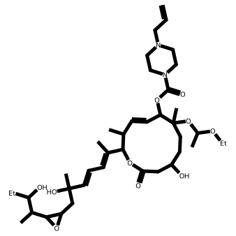 C=CCN1CCN(C(=O)OC2/C=C/C(C)C(/C(C)=C/C=C/C(C)(O)CC3OC3C(C)C(O)CC)OC(=O)CC(O)CCC2(C)OC(C)OCC)CC1